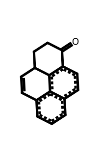 O=C1CCC2C=Cc3cccc4ccc1c2c34